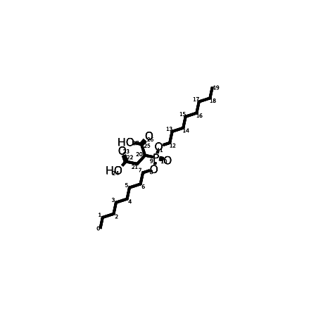 CCCCCCCCOP(=O)(OCCCCCCCC)C(CC(=O)O)C(=O)O